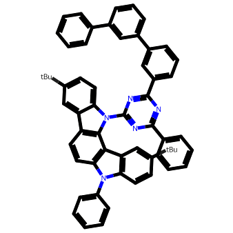 CC(C)(C)c1ccc2c(c1)c1c(ccc3c4cc(C(C)(C)C)ccc4n(-c4nc(-c5ccccc5)nc(-c5cccc(-c6cccc(-c7ccccc7)c6)c5)n4)c31)n2-c1ccccc1